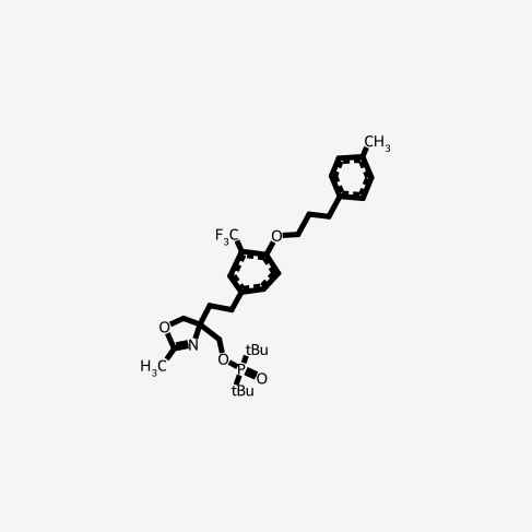 CC1=NC(CCc2ccc(OCCCc3ccc(C)cc3)c(C(F)(F)F)c2)(COP(=O)(C(C)(C)C)C(C)(C)C)CO1